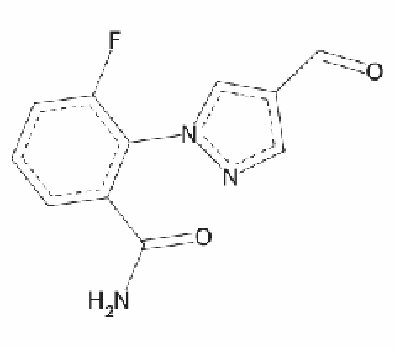 NC(=O)c1cccc(F)c1-n1cc(C=O)cn1